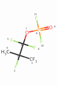 CC(F)(C(F)(F)F)C(F)(F)OP(=O)(F)F